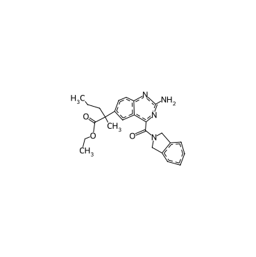 CCCC(C)(C(=O)OCC)c1ccc2nc(N)nc(C(=O)N3Cc4ccccc4C3)c2c1